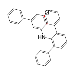 Clc1cc(Nc2c(-c3ccccc3)cccc2-c2ccccc2)cc(-c2ccccc2)c1